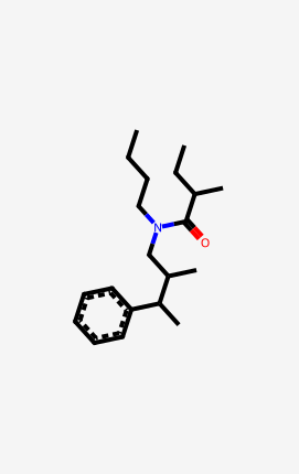 CCCCN(CC(C)C(C)c1ccccc1)C(=O)C(C)CC